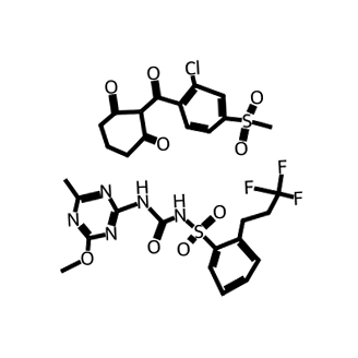 COc1nc(C)nc(NC(=O)NS(=O)(=O)c2ccccc2CCC(F)(F)F)n1.CS(=O)(=O)c1ccc(C(=O)C2C(=O)CCCC2=O)c(Cl)c1